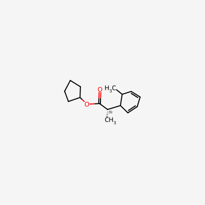 CC1C=CC=CC1[C@H](C)C(=O)OC1CCCC1